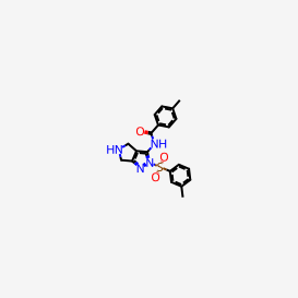 Cc1ccc(C(=O)Nc2c3c(nn2S(=O)(=O)c2cccc(C)c2)CNC3)cc1